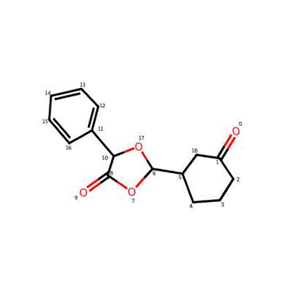 O=C1CCCC(C2OC(=O)C(c3ccccc3)O2)C1